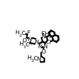 C=C(F)C(=O)N1CCN(c2nc(OCC3CCCN3C)nc3c2CN(C)C(c2cccc4cccc(Cl)c24)C3)C[C@H]1C